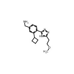 COCCc1nnc(-c2c[c]c(CN)cc2C2CCC2)[nH]1